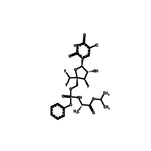 CC(C)OC(=O)[C@H](C)NP(=O)(OC[C@@]1(C(F)F)O[C@@H](n2cc(Cl)c(=O)[nH]c2=O)[C@H](O)[C@H]1F)Oc1ccccc1